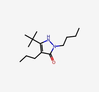 CCCCn1[nH]c(C(C)(C)C)c(CCC)c1=O